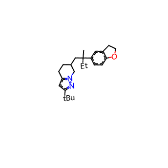 CCC(C)(CC1CCc2cc(C(C)(C)C)nn2C1)c1ccc2c(c1)CCO2